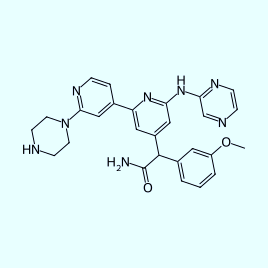 COc1cccc(C(C(N)=O)c2cc(Nc3cnccn3)nc(-c3ccnc(N4CCNCC4)c3)c2)c1